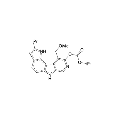 COCc1c(OC(=O)OC(C)C)ncc2[nH]c3ccc4nc(C(C)C)[nH]c4c3c12